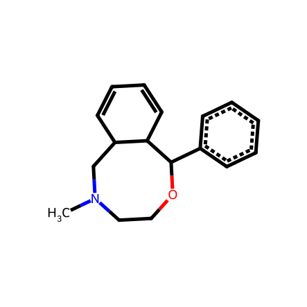 CN1CCOC(c2ccccc2)C2C=CC=CC2C1